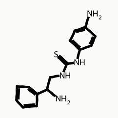 Nc1ccc(NC(=S)NCC(N)c2ccccc2)cc1